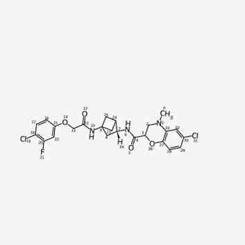 CN1CC(C(=O)N[C@@H]2CC3(NC(=O)COc4ccc(Cl)c(F)c4)CC2C3)Oc2ccc(Cl)cc21